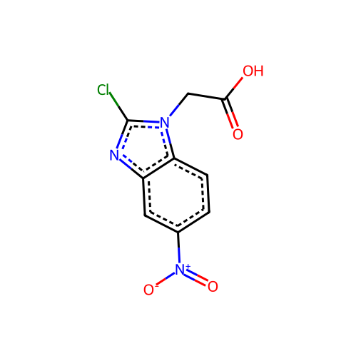 O=C(O)Cn1c(Cl)nc2cc([N+](=O)[O-])ccc21